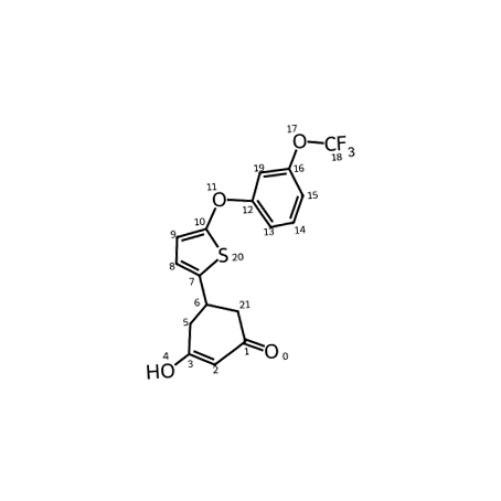 O=C1C=C(O)CC(c2ccc(Oc3cccc(OC(F)(F)F)c3)s2)C1